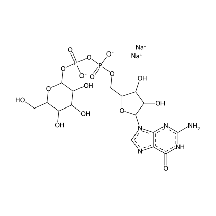 Nc1nc2c(ncn2C2OC(COP(=O)([O-])OP(=O)([O-])OC3OC(CO)C(O)C(O)C3O)C(O)C2O)c(=O)[nH]1.[Na+].[Na+]